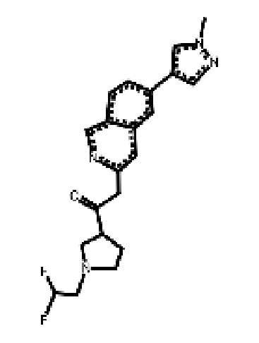 Cn1cc(-c2ccc3cnc(CC(=O)C4CCN(CC(F)F)C4)cc3c2)cn1